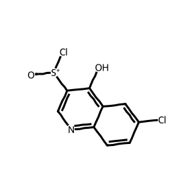 [O-][S+](Cl)c1cnc2ccc(Cl)cc2c1O